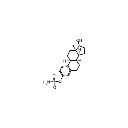 C[C@]12CC[C@@H]3c4ccc(OS(N)(=O)=O)cc4CC[C@H]3[C@@H]1CC[C@@H]2O